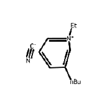 CCCCc1ccc[n+](CC)c1.[C-]#N